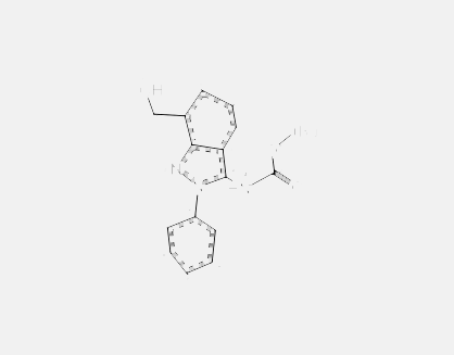 CC(C)(C)OC(=O)Nc1c2cccc(CO)c2nn1-c1ccccc1